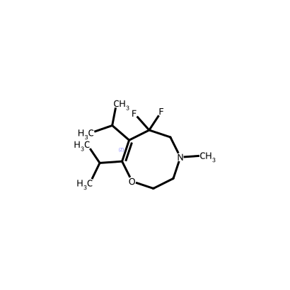 CC(C)/C1=C(\C(C)C)C(F)(F)CN(C)CCO1